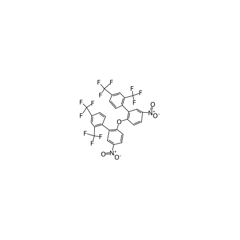 O=[N+]([O-])c1ccc(Oc2ccc([N+](=O)[O-])cc2-c2ccc(C(F)(F)F)cc2C(F)(F)F)c(-c2ccc(C(F)(F)F)cc2C(F)(F)F)c1